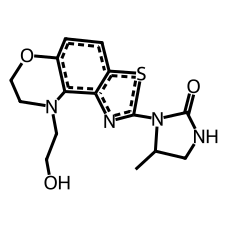 CC1CNC(=O)N1c1nc2c3c(ccc2s1)OCCN3CCO